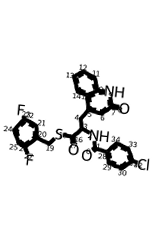 O=C(NC(Cc1cc(=O)[nH]c2ccccc12)C(=O)SCc1cc(F)ccc1F)c1ccc(Cl)cc1